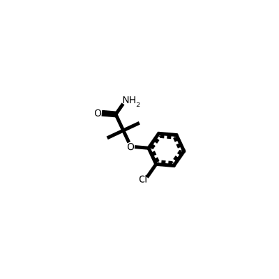 CC(C)(Oc1ccccc1Cl)C(N)=O